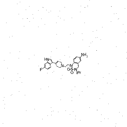 CC(C)N1Cc2cc(N)ccc2N(CCN2CC=C(c3c[nH]c4cc(F)ccc34)CC2)S1(=O)=O